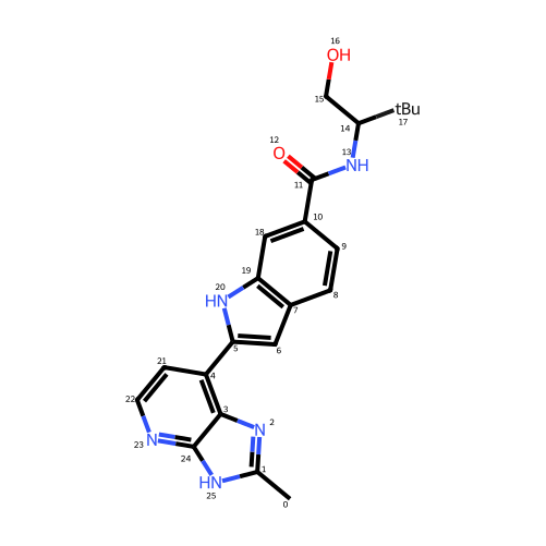 Cc1nc2c(-c3cc4ccc(C(=O)NC(CO)C(C)(C)C)cc4[nH]3)ccnc2[nH]1